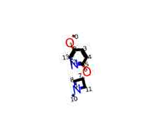 COc1ccc(OC2CN(C)C2)nc1